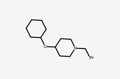 CC(C)CN1CCC(OC2CCCCC2)CC1